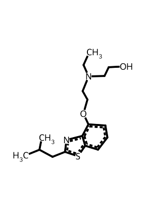 CCN(CCO)CCOc1cccc2sc(CC(C)C)nc12